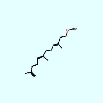 C=C(C)CC/C=C(\C)CC/C=C(\C)CCOC(C)(C)C